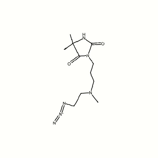 CN(CCCN1C(=O)NC(C)(C)C1=O)CCN=[N+]=[N-]